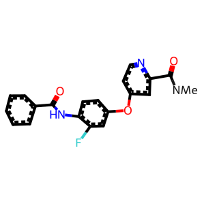 CNC(=O)c1cc(Oc2ccc(NC(=O)c3ccccc3)c(F)c2)ccn1